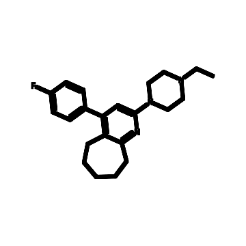 CCN1CCN(c2cc(-c3ccc(F)cc3)c3c(n2)CCCCC3)CC1